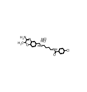 CC1Oc2ccc(CNCCCCNC(=O)c3ccc(Cl)cc3)cc2N=C1N.Cl.Cl